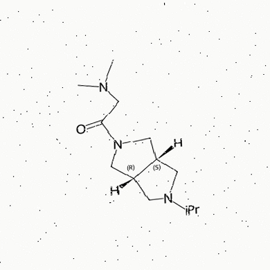 CC(C)N1C[C@H]2CN(C(=O)CN(C)C)C[C@H]2C1